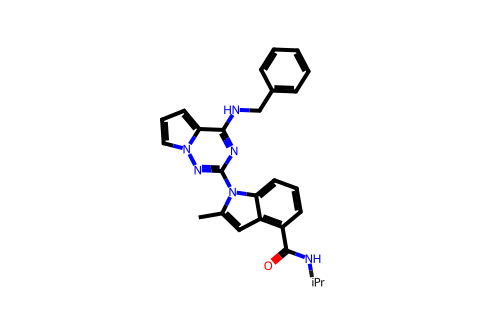 Cc1cc2c(C(=O)NC(C)C)cccc2n1-c1nc(NCc2ccccc2)c2cccn2n1